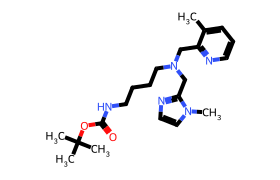 Cc1cccnc1CN(CCCCNC(=O)OC(C)(C)C)Cc1nccn1C